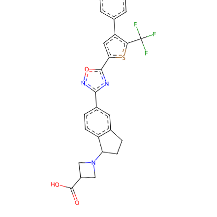 O=C(O)C1CN(C2CCc3cc(-c4noc(-c5cc(-c6ccccc6)c(C(F)(F)F)s5)n4)ccc32)C1